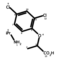 CC(C)N.CC(Oc1ccc(Cl)cc1Cl)C(=O)O